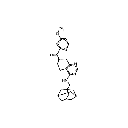 O=C(c1cccc(OC(F)(F)F)c1)N1CCc2c(ncnc2NCC23CC4CC(CC(C4)C2)C3)C1